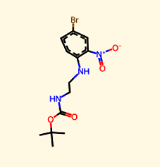 CC(C)(C)OC(=O)NCCNc1ccc(Br)cc1[N+](=O)[O-]